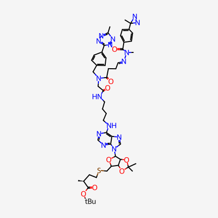 Cc1nnc(-c2ccc(CN(CC(=O)NCCCCNc3ncnc4c3ncn4C3OC(CSCC[C@H](C)C(=O)OC(C)(C)C)C4OC(C)(C)OC43)C(=O)CC/C=N/N(C)C(=O)c3ccc(C4(C)N=N4)cc3)cc2)nn1